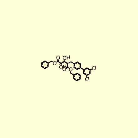 O=C(OCc1ccccc1)[C@H](O)[C@H](O)[C@@H](Cc1ccc(-c2cc(Cl)cc(Cl)c2)cc1)C(=O)OCc1ccccc1